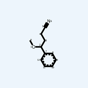 COC(CCC#N)c1ccccc1